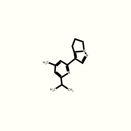 Cc1cc(-c2cnn3c2CCC3)nc(C(C)C)c1